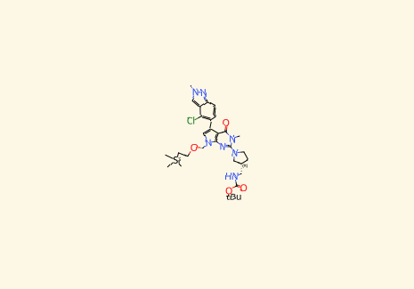 Cn1cc2c(Cl)c(-c3cn(COCC[Si](C)(C)C)c4nc(N5CC[C@H](CNC(=O)OC(C)(C)C)C5)n(C)c(=O)c34)ccc2n1